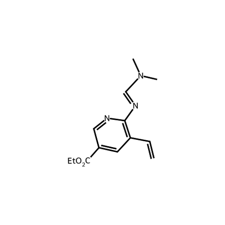 C=Cc1cc(C(=O)OCC)cnc1/N=C/N(C)C